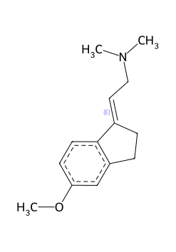 COc1ccc2c(c1)CC/C2=C\CN(C)C